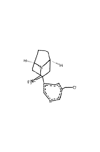 N#CC1(c2cncc(Cl)c2)C[C@H]2CC[C@@H](C1)N2CC(F)(F)F